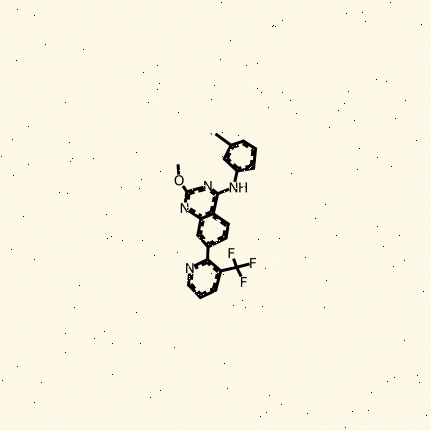 [CH2]c1cccc(Nc2nc(OC)nc3cc(-c4ncccc4C(F)(F)F)ccc23)c1